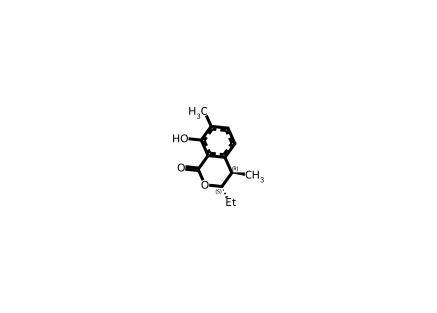 CC[C@@H]1OC(=O)c2c(ccc(C)c2O)[C@H]1C